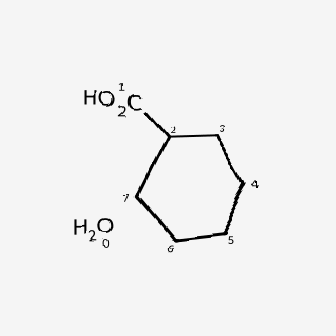 O.O=C(O)C1CCCCC1